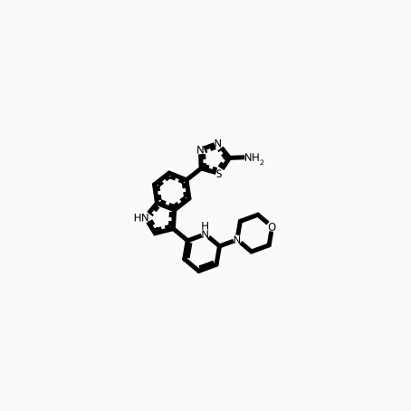 Nc1nnc(-c2ccc3[nH]cc(C4=CC=CC(N5CCOCC5)N4)c3c2)s1